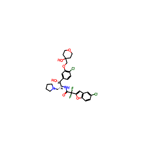 O=C(N[C@H](CN1CCCC1)[C@H](O)c1ccc(Cl)c(OCC2(O)CCOCC2)c1)C(F)(F)c1cc2cc(Cl)ccc2o1